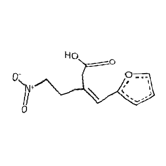 O=C(O)C(=Cc1ccco1)CC[N+](=O)[O-]